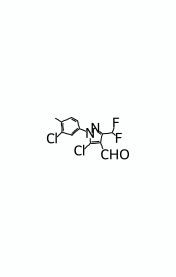 Cc1ccc(-n2nc(C(F)F)c(C=O)c2Cl)cc1Cl